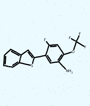 Nc1cc(-c2cc3ccccc3s2)c(F)cc1OC(F)(F)F